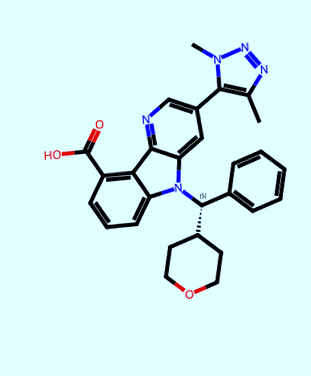 Cc1nnn(C)c1-c1cnc2c3c(C(=O)O)cccc3n([C@H](c3ccccc3)C3CCOCC3)c2c1